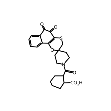 O=C1C(=O)c2ccccc2C2=C1SCC1(CCN(C(=O)C3CCCCC3C(=O)O)CC1)O2